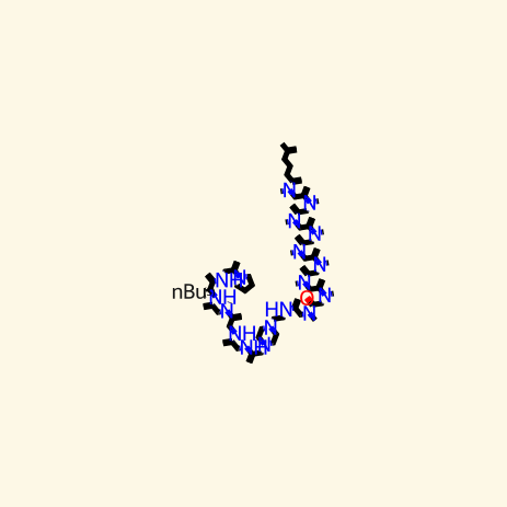 C=C(C)CCCC(=C)N(C)CC(=C)N(C)CC(=C)N(C)CC(=C)N(C)CC(=C)N(C)CC(=C)N(C)CC(=C)N(C)CC(=C)N(C)CC(=O)N(C)CC(=C)NCCN1CCN(CC(=C)NCC(=C)NCC(=C)N(C)CC(=C)N[C@@H](CCCC)C(=C)NCC(=C)N2CCCC2)CC1